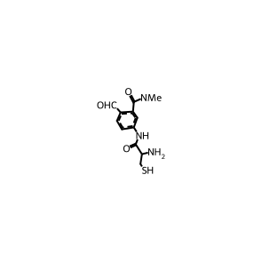 CNC(=O)c1cc(NC(=O)C(N)CS)ccc1C=O